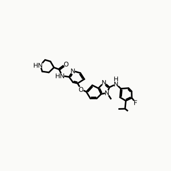 CC(C)c1cc(Nc2nc3cc(Oc4ccnc(NC(=O)C5CCNCC5)c4)ccc3n2C)ccc1F